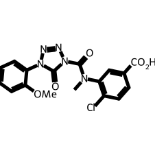 COc1ccccc1-n1nnn(C(=O)N(C)c2cc(C(=O)O)ccc2Cl)c1=O